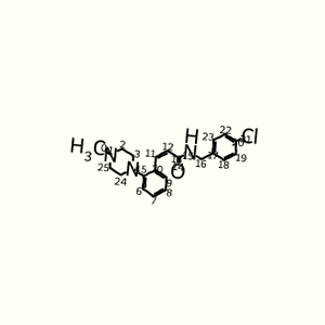 CN1CCN(c2ccccc2/C=C\C(=O)NCc2ccc(Cl)cc2)CC1